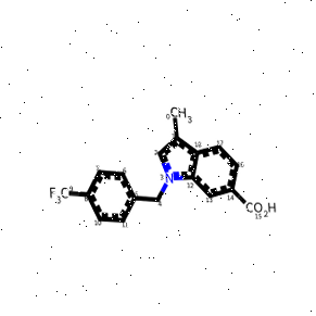 Cc1cn(Cc2ccc(C(F)(F)F)cc2)c2cc(C(=O)O)ccc12